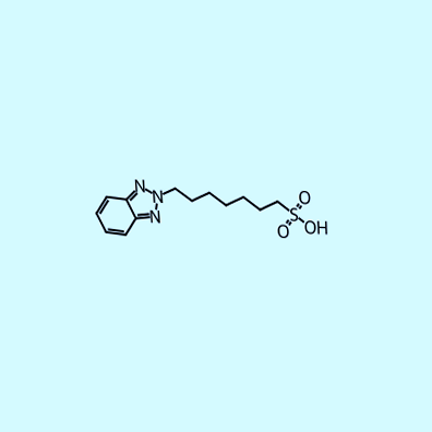 O=S(=O)(O)CCCCCCCn1nc2ccccc2n1